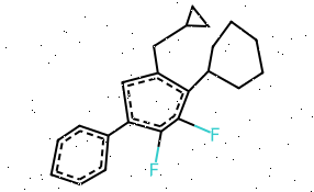 Fc1c(-c2ccccc2)cc(CC2CC2)c(C2CCCCC2)c1F